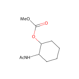 COC(=O)OC1CCCCC1NC(C)=O